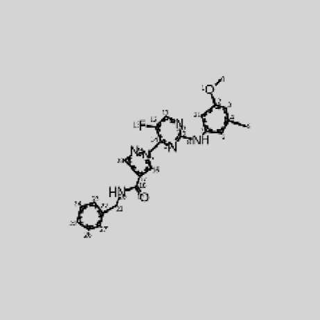 COc1cc(C)cc(Nc2ncc(F)c(-n3cc(C(=O)NCc4ccccc4)cn3)n2)c1